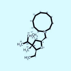 CC[C@@H]1O[C@H](CN2CCCCCCCCC2)[C@@H](C)[C@@]1(C)C(C)C